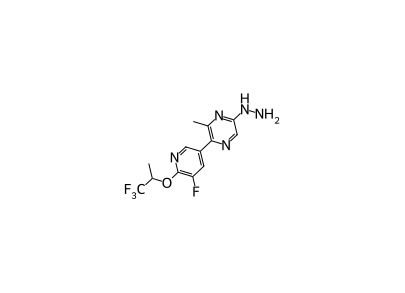 Cc1nc(NN)cnc1-c1cnc(OC(C)C(F)(F)F)c(F)c1